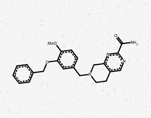 COc1ccc(CN2CCc3[c]nc(C(N)=O)nc3C2)cc1OCc1ccccc1